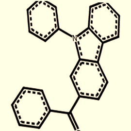 O=C(c1ccccc1)c1ccc2c3ccccc3n(-c3ccccc3)c2c1